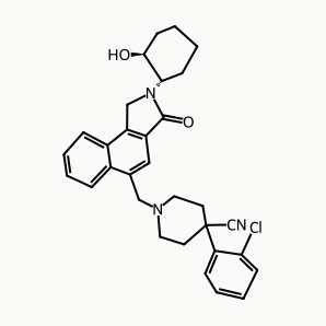 N#CC1(c2ccccc2Cl)CCN(Cc2cc3c(c4ccccc24)CN([C@H]2CCCC[C@@H]2O)C3=O)CC1